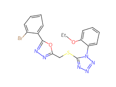 CCOc1ccccc1-n1nnnc1SCc1nnc(-c2ccccc2Br)o1